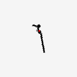 CCCCCCCCCCCCCCCCCCCCSc1ccc(C(=O)/C=C/c2ccccc2OCCCC)cc1